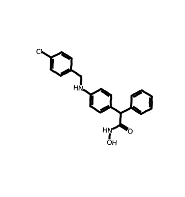 O=C(NO)C(c1ccccc1)c1ccc(NCc2ccc(Cl)cc2)cc1